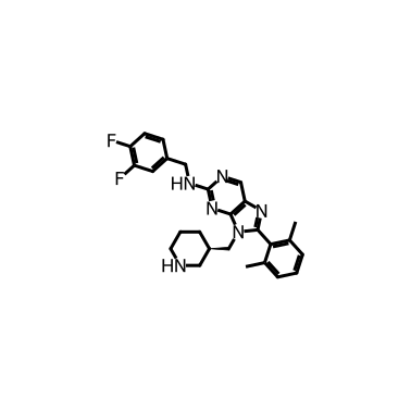 Cc1cccc(C)c1-c1nc2cnc(NCc3ccc(F)c(F)c3)nc2n1C[C@@H]1CCCNC1